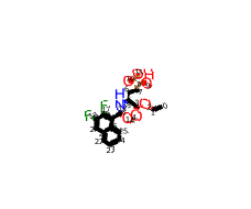 CCOC(=O)[C@H](CCS(=O)(=O)O)NC(=O)c1c(F)c(F)cc2ccccc12